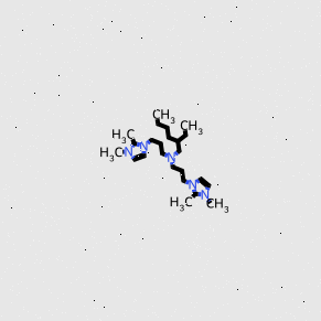 CCCCC(CC)CN(CCCN1C=CN(C)C1C)CCCN1C=CN(C)C1C